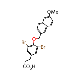 COc1ccc2cc(COc3c(Br)cc(CCC(=O)O)cc3Br)ccc2c1